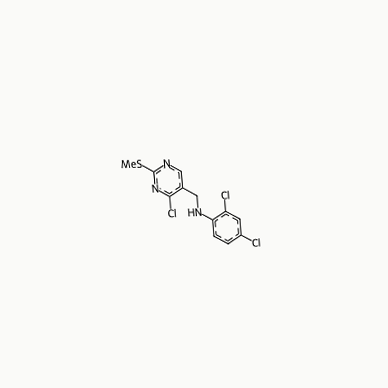 CSc1ncc(CNc2ccc(Cl)cc2Cl)c(Cl)n1